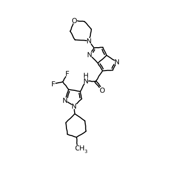 CC1CCC(n2cc(NC(=O)C3=C4N=C(N5CCOCC5)C=C4N=C3)c(C(F)F)n2)CC1